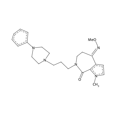 CON=C1CCN(CCCN2CCN(c3ccccc3)CC2)C(=O)c2c1ccn2C